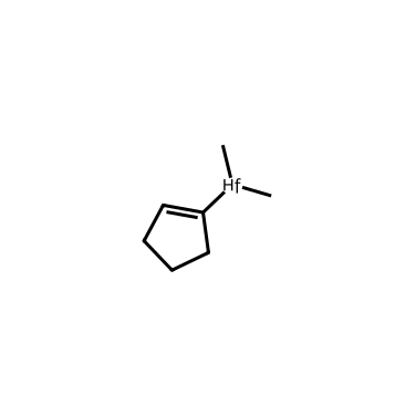 [CH3][Hf]([CH3])[C]1=CCCC1